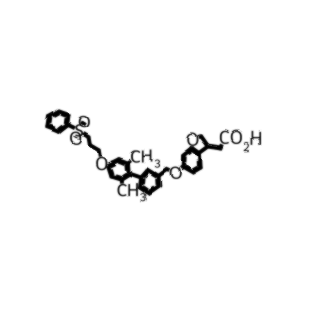 Cc1cc(OCCCS(=O)(=O)c2ccccc2)cc(C)c1-c1cccc(COc2ccc3c(c2)OCC3CC(=O)O)c1